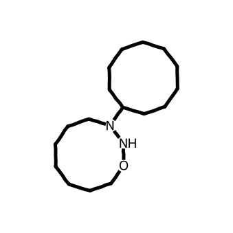 C1CCCCC(N2CCCCCCCON2)CCCC1